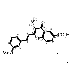 CCOc1c(/C=C/c2cccc(OC)c2)oc2ccc(C(=O)O)cc2c1=O